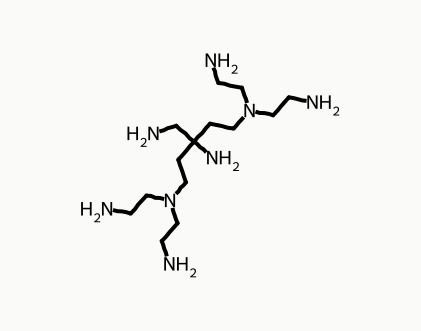 NCCN(CCN)CCC(N)(CN)CCN(CCN)CCN